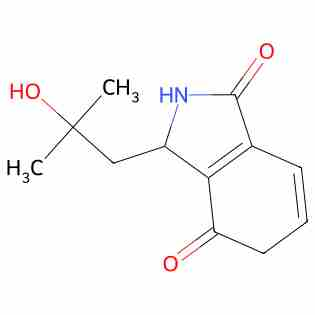 CC(C)(O)CC1NC(=O)C2=C1C(=O)CC=C2